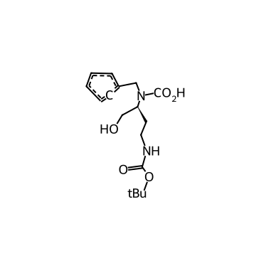 CC(C)(C)OC(=O)NCC[C@@H](CO)N(Cc1ccccc1)C(=O)O